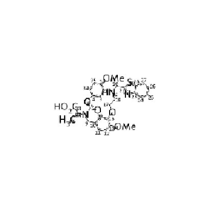 COc1ccc(OC(=O)N(Cc2ccc(OC)c(OCCNCc3nc4ccccc4s3)c2)[C@@H](C)C(=O)O)cc1